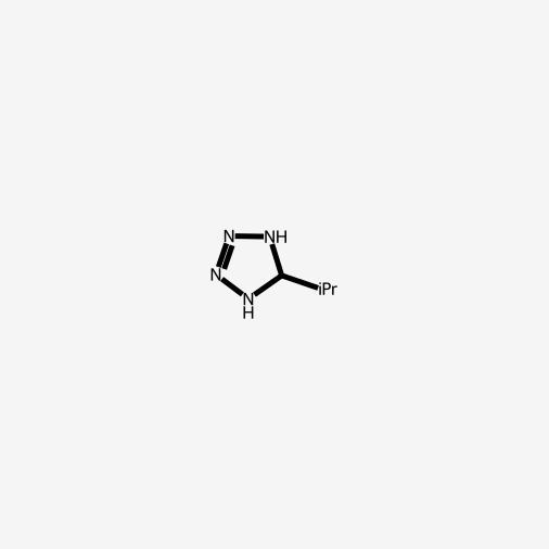 CC(C)C1NN=NN1